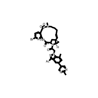 CC(=O)c1nn(CC(=O)N2[C@H]3C[C@@]4(/C=C/CCCN(C)S(=O)(=O)Cc5ccc(Br)nc5NC3=O)C[C@@H]24)c2c(C)cc(-c3cnc(C)nc3)cc12